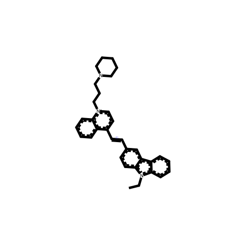 CCn1c2ccccc2c2cc(/C=C/c3cc[n+](CCCN4CCCCC4)c4ccccc34)ccc21